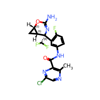 Cc1ncc(Cl)nc1C(=O)Nc1ccc(F)c([C@]2(C(F)F)N=C(N)O[C@H]3C[C@H]32)c1